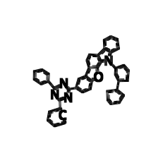 c1ccc(-c2cccc(-n3c4ccccc4c4ccc5c6cc(-c7nc(-c8ccccc8)nc(-c8ccccc8)n7)ccc6oc5c43)c2)cc1